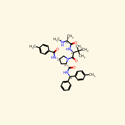 CN[C@@H](C)C(=O)N[C@H](C(=O)N1C[C@@H](NC(=O)c2ccc(C)cc2)C[C@H]1C(=O)N[C@H](c1ccccc1)c1ccc(C)cc1)C(C)(C)C